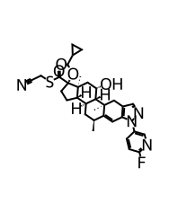 C[C@H]1C[C@@H]2[C@H]([C@@H](O)C[C@@]3(C)[C@H]2CC[C@]3(OC(=O)C2CC2)C(=O)SCC#N)[C@@]2(C)Cc3cnn(-c4ccc(F)nc4)c3C=C12